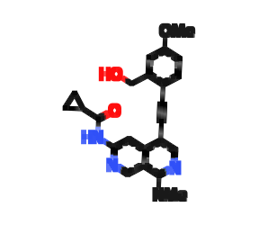 CNc1ncc(C#Cc2ccc(OC)cc2CO)c2cc(NC(=O)C3CC3)ncc12